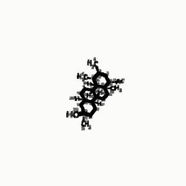 CC(=O)[C@H]1C[C@H](C)[C@@H](C)[C@H]2[C@@H]3CC[C@@H]4C[C@](C)(O)CC[C@@H]4[C@H]3CC[C@@]21C